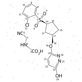 N#CCNC(=O)O.O=S(=O)(c1ccccc1Cl)[C@H]1CC[C@@H](COc2ccc(O)nn2)C1